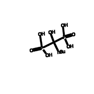 CCCCC(O)(P(=O)(O)O)P(=O)(O)O